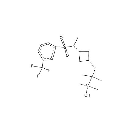 CC([C@H]1C[C@@H](CC(C)(C)[Si](C)(C)O)C1)S(=O)(=O)c1cccc(C(F)(F)F)c1